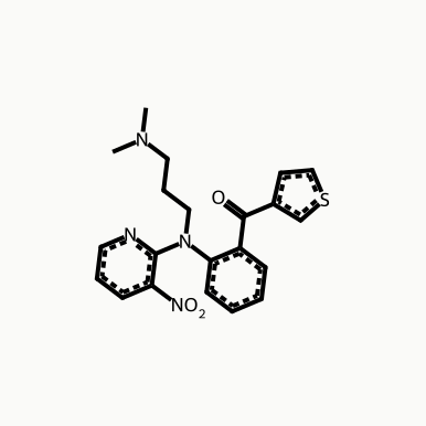 CN(C)CCCN(c1ccccc1C(=O)c1ccsc1)c1ncccc1[N+](=O)[O-]